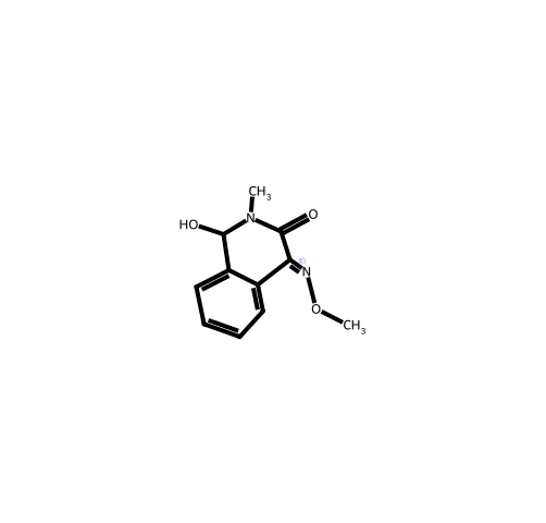 CO/N=C1/C(=O)N(C)C(O)c2ccccc21